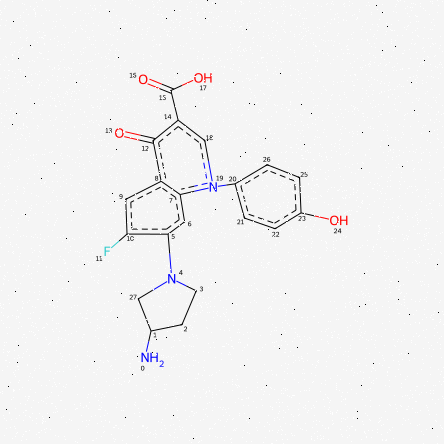 NC1CCN(c2cc3c(cc2F)c(=O)c(C(=O)O)cn3-c2ccc(O)cc2)C1